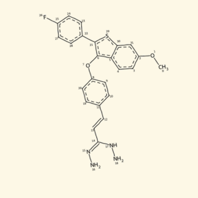 COc1ccc2c(Oc3ccc(/C=C/C(=N/N)NN)cc3)c(-c3ccc(F)cc3)sc2c1